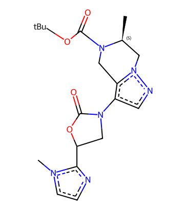 C[C@H]1Cn2ncc(N3CC(c4nccn4C)OC3=O)c2CN1C(=O)OC(C)(C)C